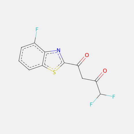 O=C(CC(=O)C(F)F)c1nc2c(F)cccc2s1